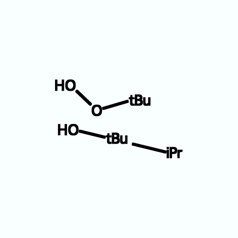 CC(C)(C)O.CC(C)(C)OO.CC(C)C